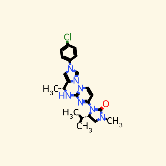 CC(C)[C@H]1CN(C)C(=O)N1c1ccnc(N[C@H](C)c2cn(-c3ccc(Cl)cc3)cn2)n1